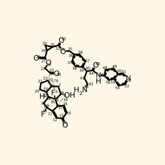 C[C@]12C[C@H](O)[C@@]3(F)[C@@H](C[C@H](F)C4=CC(=O)C=C[C@@]43C)C1CC[C@@H]2C(=O)COC(=O)C1CC1C(=O)OCc1ccc(C(CCN)C(=O)Nc2ccc3cnccc3c2)cc1